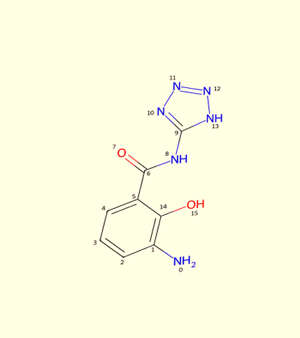 Nc1cccc(C(=O)Nc2nnn[nH]2)c1O